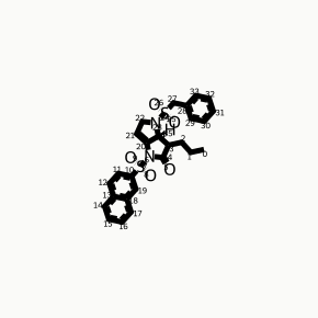 CCCC1C(=O)N(S(=O)(=O)c2ccc3ccccc3c2)C2=CCN(S(=O)(=O)Cc3ccccc3)[C@@H]21